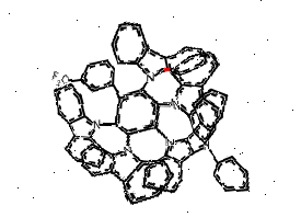 FC(F)(F)c1cccc(-c2c(-n3c4ccccc4c4ccccc43)c(-n3c4ccccc4c4ccccc43)c(-n3c4ccccc4c4c3c3ccccc3n4-c3ccccc3)c(-n3c4ccccc4c4ccccc43)c2-n2c3ccccc3c3ccccc32)c1